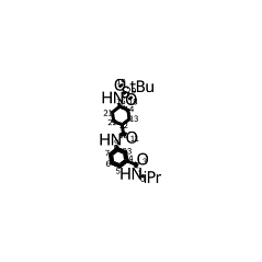 CC(C)NC(=O)c1cccc(NC(=O)C2CCC(NS(=O)(=O)C(C)(C)C)CC2)c1